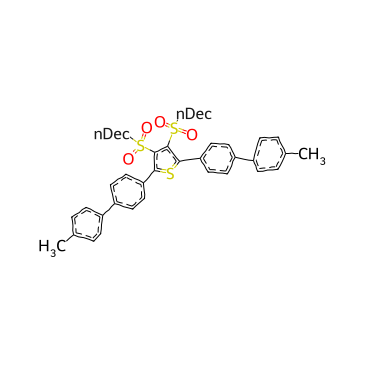 CCCCCCCCCCS(=O)(=O)c1c(-c2ccc(-c3ccc(C)cc3)cc2)sc(-c2ccc(-c3ccc(C)cc3)cc2)c1S(=O)(=O)CCCCCCCCCC